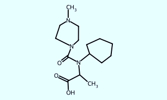 CC(C(=O)O)N(C(=O)N1CCN(C)CC1)C1CCCCC1